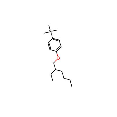 CCCCC(CC)COc1ccc([Si](C)(C)C)cc1